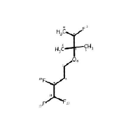 CC(F)C(C)(C)OCCC(F)C(F)F